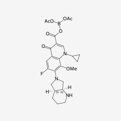 COc1c(N2C[C@@H]3CCCN[C@@H]3C2)c(F)cc2c(=O)c(C(=O)OB(OC(C)=O)OC(C)=O)cn(C3CC3)c12